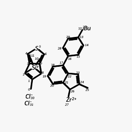 CC1=C2c3cscc3C1[Si]2(C)C.CCC(C)c1ccc(-c2cccc3c2C=C(C)[CH]3[Zr+2])cc1.[Cl-].[Cl-]